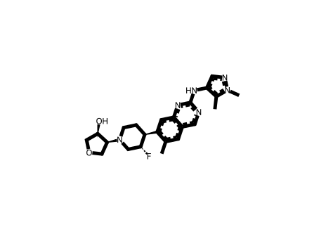 Cc1cc2cnc(Nc3cnn(C)c3C)nc2cc1[C@@H]1CCN([C@H]2COC[C@H]2O)C[C@H]1F